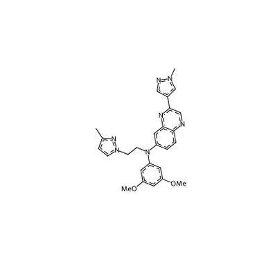 COc1cc(OC)cc(N(CCn2ccc(C)n2)c2ccc3ncc(-c4cnn(C)c4)nc3c2)c1